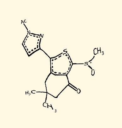 CC(=O)n1ccc(-c2sc([S+](C)[O-])c3c2CC(C)(C)CC3=O)n1